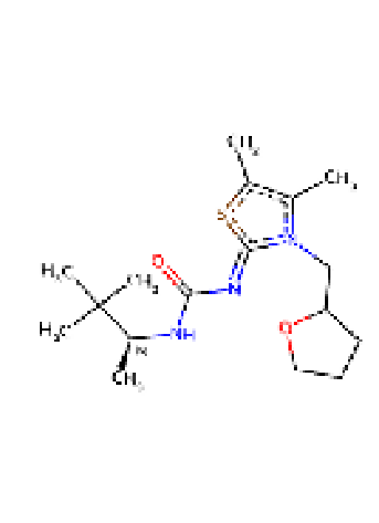 Cc1sc(=NC(=O)N[C@@H](C)C(C)(C)C)n(CC2CCCO2)c1C